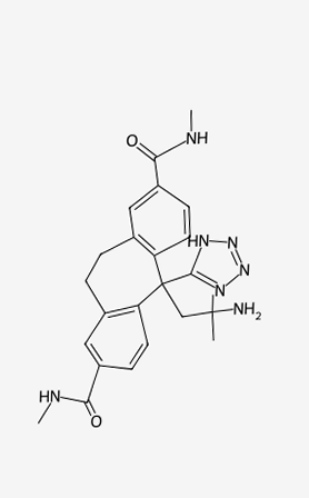 CNC(=O)c1ccc2c(c1)CCc1cc(C(=O)NC)ccc1C2(CC(C)(C)N)c1nnn[nH]1